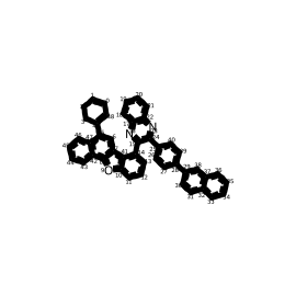 C1=CCCC(c2cc3c(oc4cccc(-c5nc6ccccc6nc5-c5ccc(-c6ccc7ccccc7c6)cc5)c43)c3ccccc23)=C1